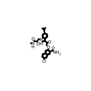 CNC(=O)C(O)Cn1cc(C(=O)COc2cc3ccc(Cl)cc3cc2C(N)=O)c2ccc(C3CC3)cc21